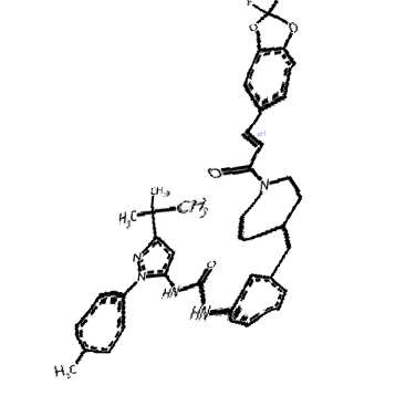 Cc1ccc(-n2nc(C(C)(C)C)cc2NC(=O)Nc2cccc(CC3CCN(C(=O)/C=C/c4ccc5c(c4)OC(F)(F)O5)CC3)c2)cc1